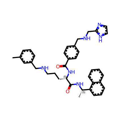 Cc1cccc(CNCCC[C@H](NC(=O)c2ccc(CNCc3ncc[nH]3)cc2)C(=O)N[C@@H](C)c2cccc3ccccc23)c1